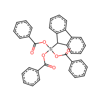 O=C([O][Ti]([O]C(=O)c1ccccc1)([O]C(=O)c1ccccc1)[CH]1c2ccccc2-c2ccccc21)c1ccccc1